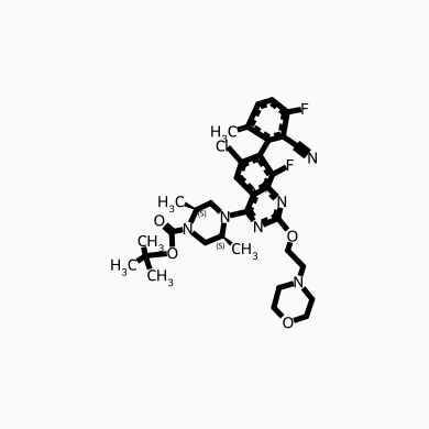 Cc1ccc(F)c(C#N)c1-c1c(Cl)cc2c(N3C[C@H](C)N(C(=O)OC(C)(C)C)C[C@@H]3C)nc(OCCN3CCOCC3)nc2c1F